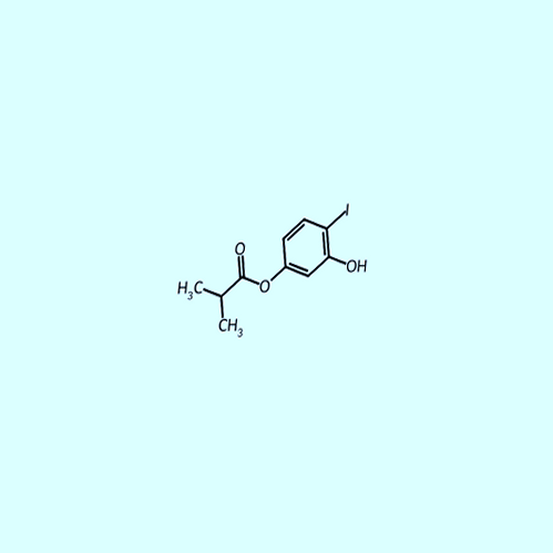 CC(C)C(=O)Oc1ccc(I)c(O)c1